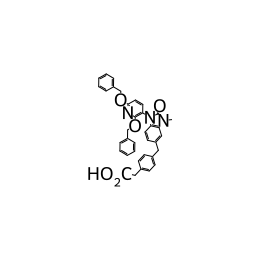 Cn1c(=O)n(-c2ccc(OCc3ccccc3)nc2OCc2ccccc2)c2ccc(Cc3ccc(CC(=O)O)cc3)cc21